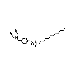 C#CCN(CC#C)Cc1ccc(CO[Si](C)(C)CCCCCCCCCCCC)cc1